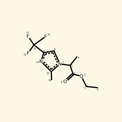 CCOC(=O)C(C)n1cc(C(F)(F)F)nc1C